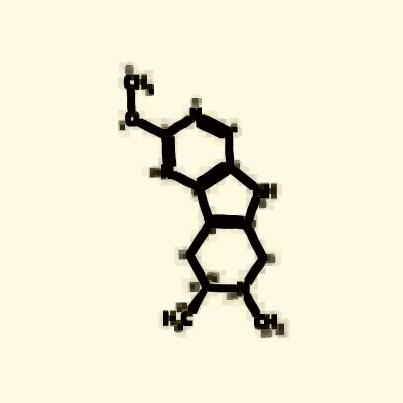 COc1ncc2[nH]c3c(c2n1)C[C@H](C)N(C)C3